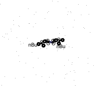 CCCCc1ccc(C(OC2CCN(OC(=O)/C=C/C(=O)ON3CCC(OC(c4ccccc4)c4ccc(CCCC)cc4)CC3)CC2)c2ccccc2)cc1